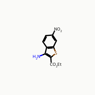 CCOC(=O)c1sc2cc([N+](=O)[O-])ccc2c1N